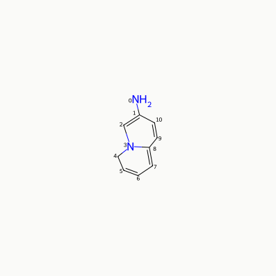 NC1=CN2CC=CC=C2C=C1